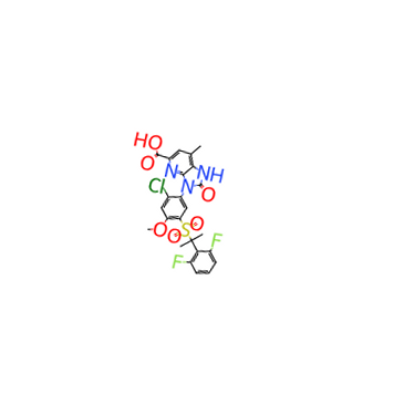 COc1cc(Cl)c(-n2c(=O)[nH]c3c(C)cc(C(=O)O)nc32)cc1S(=O)(=O)C(C)(C)c1c(F)cccc1F